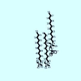 CCCCCCCCCCCC[N+](C)(C)C.CCCCCCCCCCCC[N+](C)(C)C.CCCCCCCCCCCC[N+](C)(C)C.[O-]B([O-])[O-]